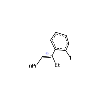 CCC/C=C(\CC)c1ccccc1I